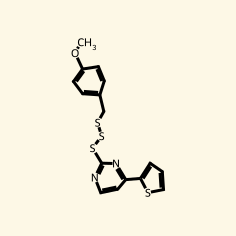 COc1ccc(CSSSc2nccc(-c3cccs3)n2)cc1